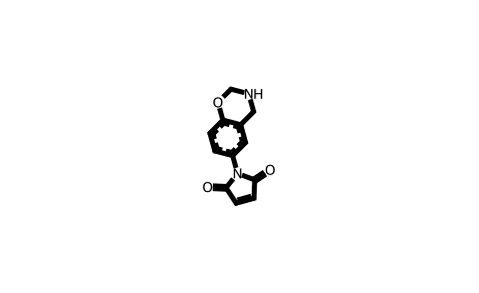 O=C1C=CC(=O)N1c1ccc2c(c1)CNCO2